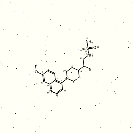 COc1ccc2c(N3CCC(C(C)CNS(N)(=O)=O)CC3)ccnc2c1